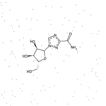 NC(=O)c1ncn(C2O[C@H](CO)[C@@H](O)[C@H]2O)n1